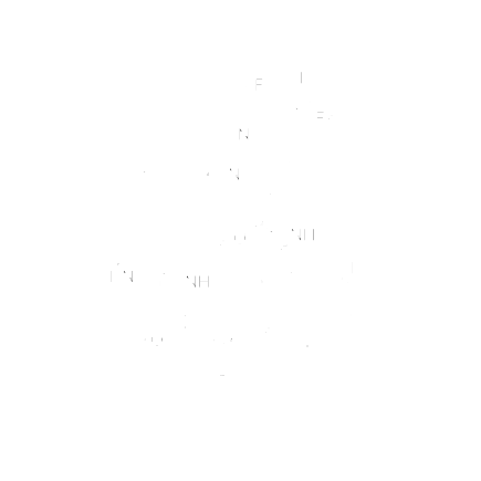 CC(C)(C)OC(=O)NC(=N)c1cccc(-n2nc(C(F)(F)F)cc2C(=O)Nc2ccccc2F)c1